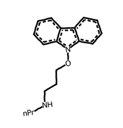 CCCNCCCOn1c2ccccc2c2ccccc21